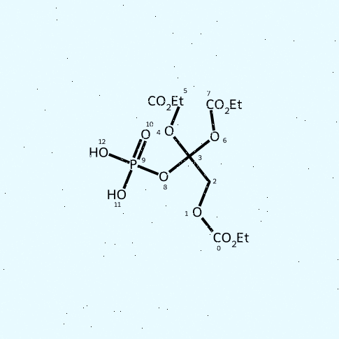 CCOC(=O)OCC(OC(=O)OCC)(OC(=O)OCC)OP(=O)(O)O